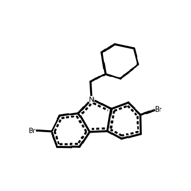 Brc1ccc2c3ccc(Br)cc3n(CC3CCCCC3)c2c1